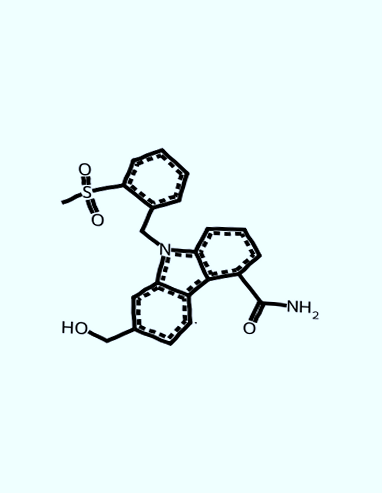 CS(=O)(=O)c1ccccc1Cn1c2cc(CO)c[c]c2c2c(C(N)=O)cccc21